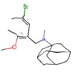 CO/C(C)=C(/C=C(\C)Br)CN(C)C12CC3CC(CC(C3)C1)C2